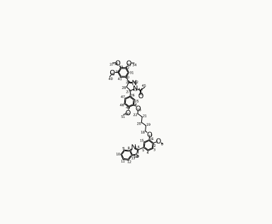 COc1ccc(-c2nc3ccccc3s2)cc1OCCCCCOc1cc(C2CC(c3cc(OC)c(OC)c(OC)c3)=NN2C(C)=O)ccc1OC